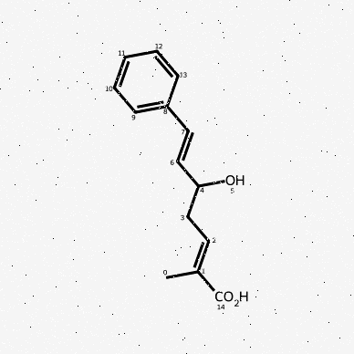 CC(=CCC(O)C=Cc1ccccc1)C(=O)O